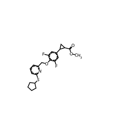 COC(=O)C1CC1c1cc(F)c(OCc2cccc(SC3CCCC3)n2)c(F)c1